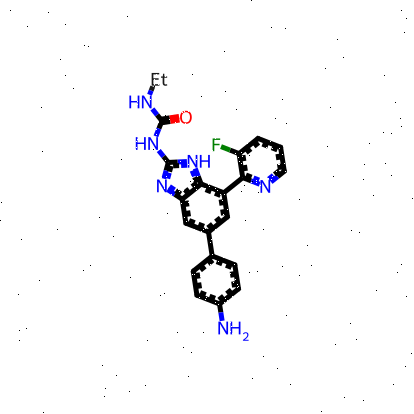 CCNC(=O)Nc1nc2cc(-c3ccc(N)cc3)cc(-c3ncccc3F)c2[nH]1